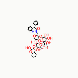 CC1OC(OC2C(CNC(=O)C(c3ccccc3)c3ccccc3)OCCC2OC2OC(CO)C(O)C(OC(CC3CCCCC3)C(=O)O)C2O)C(O)C(O)C1O